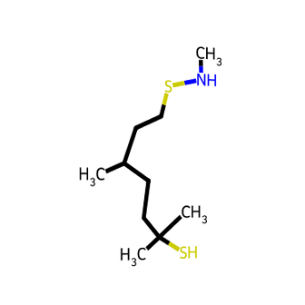 CNSCCC(C)CCC(C)(C)S